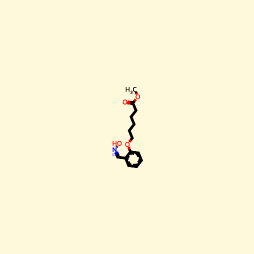 COC(=O)CCCCCOc1ccccc1/C=N\O